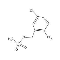 CS(=O)(=O)OCc1cc(Cl)ccc1C(F)(F)F